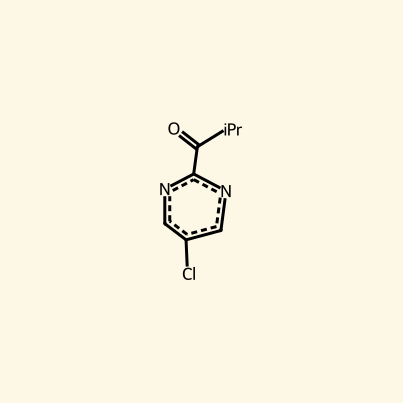 CC(C)C(=O)c1ncc(Cl)cn1